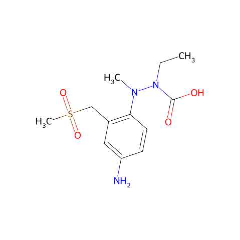 CCN(C(=O)O)N(C)c1ccc(N)cc1CS(C)(=O)=O